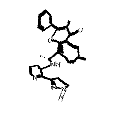 Cc1cc([C@@H](C)Nc2cccnc2-c2cc[nH]n2)c2oc(-c3ccccc3)c(C)c(=O)c2c1